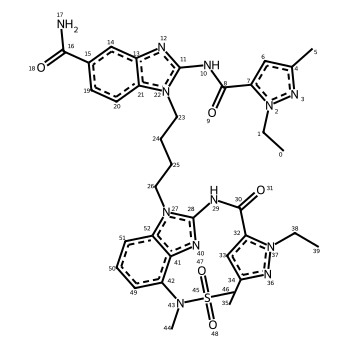 CCn1nc(C)cc1C(=O)Nc1nc2cc(C(N)=O)ccc2n1CCCCn1c(NC(=O)c2cc(C)nn2CC)nc2c(N(C)S(C)(=O)=O)cccc21